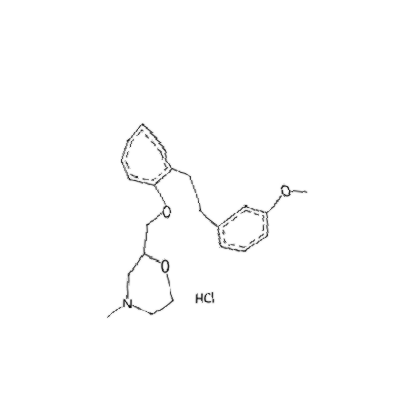 COc1cccc(CCc2ccccc2OCC2CN(C)CCO2)c1.Cl